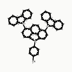 N#Cc1ccc(-n2c3ccc(-n4c5ccccc5c5ccccc54)c4ccc5c(-n6c7ccccc7c7ccccc76)ccc2c5c43)cc1